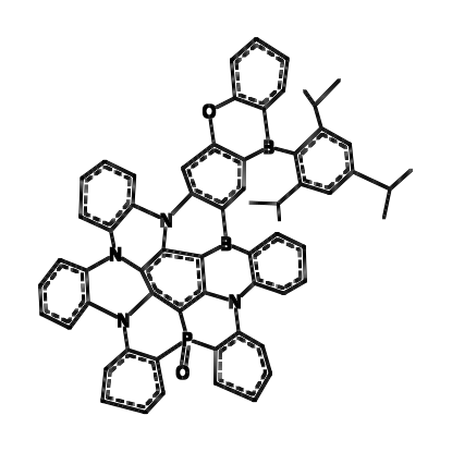 CC(C)c1cc(C(C)C)c(B2c3ccccc3Oc3cc4c(cc32)B2c3ccccc3N3c5ccccc5P5(=O)c6ccccc6N6c7ccccc7N7c8ccccc8N4c4c2c3c5c6c47)c(C(C)C)c1